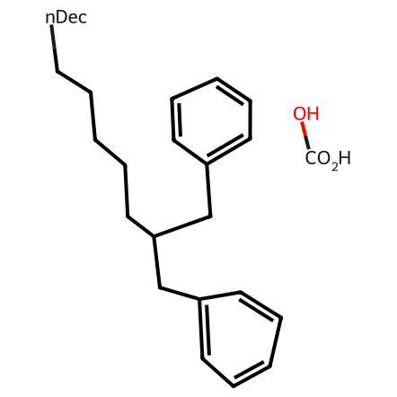 CCCCCCCCCCCCCCCC(Cc1ccccc1)Cc1ccccc1.O=C(O)O